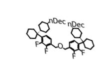 CCCCCCCCCC[C@H]1CC[C@H](C2(c3ccc(COCc4ccc(C5([C@H]6CC[C@H](CCCCCCCCCC)CC6)CCCCC5)c(F)c4F)c(F)c3F)CCCCC2)CC1